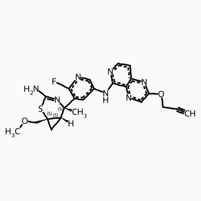 C#CCOc1cnc2c(Nc3cnc(F)c([C@@]4(C)N=C(N)S[C@@]5(COC)C[C@H]54)c3)nccc2n1